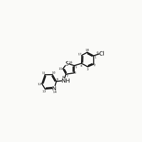 Clc1ccc(-c2cc(Nc3ccccn3)cs2)cc1